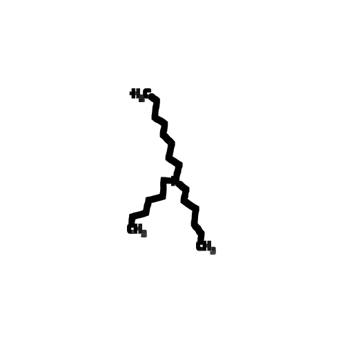 [CH2]CCCCCCCN(CCCCCC)CCCCCC